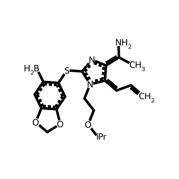 Bc1cc2c(cc1Sc1nc(=C(/C)N)/c(=C\C=C)n1CCOC(C)C)OCO2